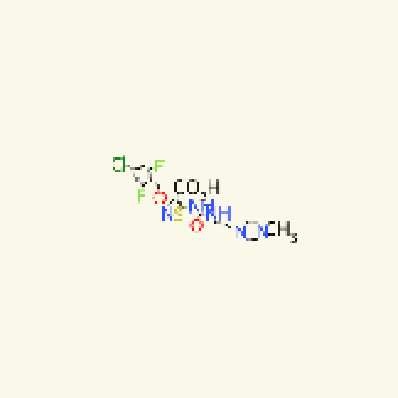 CN1CCN(CCCNC(=O)Nc2snc(OCc3c(F)cc(Cl)cc3F)c2C(=O)O)CC1